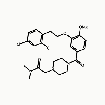 COc1ccc(C(=O)N2CCN(CC(=O)N(C)C)CC2)cc1OCCc1ccc(Cl)cc1Cl